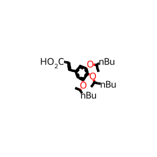 CCCCC(C)Oc1cc(/C=C/C(=O)O)cc(OC(C)CCCC)c1OC(C)CCCC